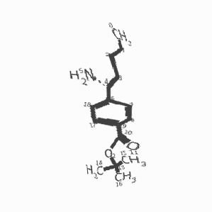 CCCC[C@@H](N)c1ccc(C(=O)OC(C)(C)C)cc1